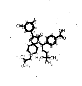 CC(C)CN1CCC2(CC1)N=C(c1cc(Cl)cc(Cl)c1)C(=O)N2[C@H](CCC(C)(C)C)c1ccc(C(=O)O)cc1